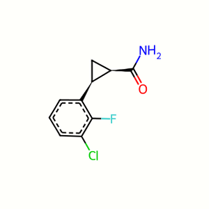 NC(=O)[C@@H]1C[C@@H]1c1cccc(Cl)c1F